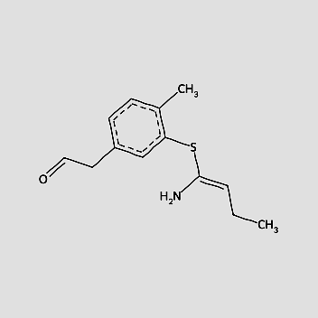 CC/C=C(\N)Sc1cc(CC=O)ccc1C